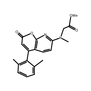 COC(=O)CN(C)c1ccc2c(-c3c(C)cccc3C)cc(=O)oc2n1